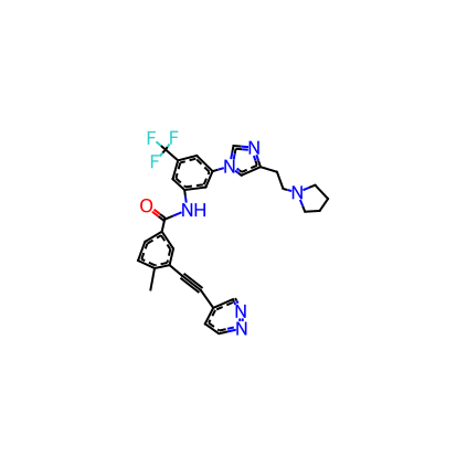 Cc1ccc(C(=O)Nc2cc(-n3cnc(CCN4CCCC4)c3)cc(C(F)(F)F)c2)cc1C#Cc1ccnnc1